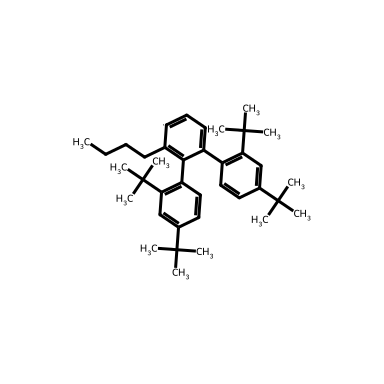 CCCCc1[c]ccc(-c2ccc(C(C)(C)C)cc2C(C)(C)C)c1-c1ccc(C(C)(C)C)cc1C(C)(C)C